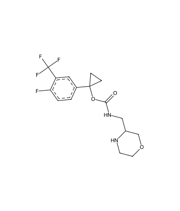 O=C(NCC1COCCN1)OC1(c2ccc(F)c(C(F)(F)F)c2)CC1